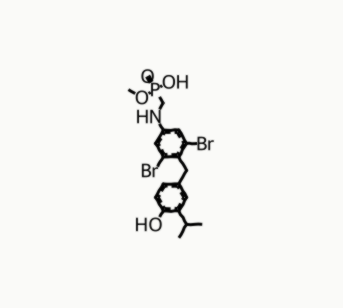 COP(=O)(O)CNc1cc(Br)c(Cc2ccc(O)c(C(C)C)c2)c(Br)c1